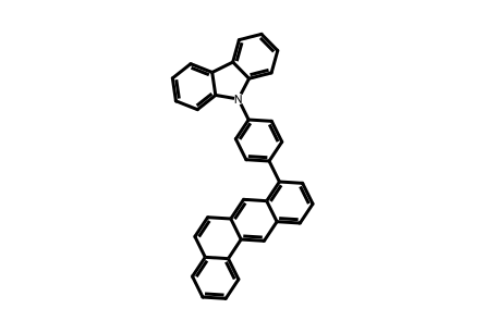 c1cc(-c2ccc(-n3c4ccccc4c4ccccc43)cc2)c2cc3ccc4ccccc4c3cc2c1